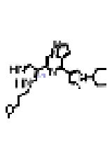 CCC(CC)n1cc(-c2nc(/C(C=N)=C/NCCCOC)cn3nccc23)cn1